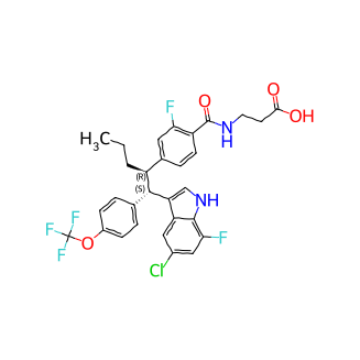 CCC[C@@H](c1ccc(C(=O)NCCC(=O)O)c(F)c1)[C@@H](c1ccc(OC(F)(F)F)cc1)c1c[nH]c2c(F)cc(Cl)cc12